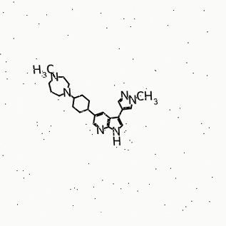 CN1CCCN(C2CCC(c3cnc4[nH]cc(-c5cnn(C)c5)c4c3)CC2)CC1